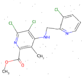 COC(=O)c1nc(Cl)c(Cl)c(NCc2ncccc2Cl)c1C